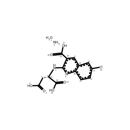 N.O.O=C(O)C[C@H](Nc1nc2ccc(Cl)cc2cc1C(=O)O)C(=O)O